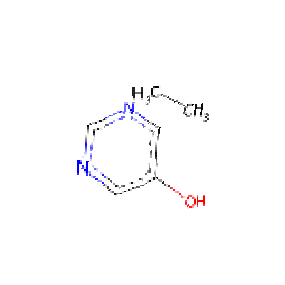 CC.Oc1cncnc1